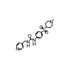 CN1CCC(S(=O)(=O)c2ccc(NC(=O)NCc3ccncc3)cc2)CC1